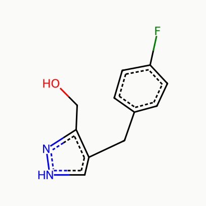 OCc1n[nH]cc1Cc1ccc(F)cc1